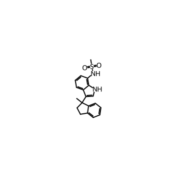 CC1(c2c[nH]c3c(NS(C)(=O)=O)cccc23)CCc2ccccc21